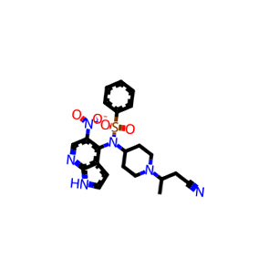 CC(CC#N)N1CCC(N(c2c([N+](=O)[O-])cnc3[nH]ccc23)S(=O)(=O)c2ccccc2)CC1